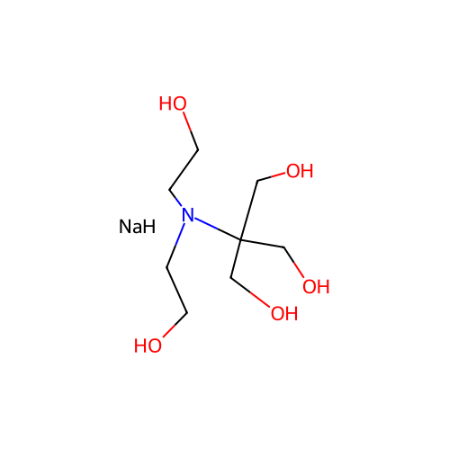 OCCN(CCO)C(CO)(CO)CO.[NaH]